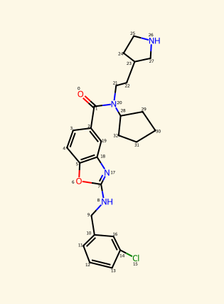 O=C(c1ccc2oc(NCc3cccc(Cl)c3)nc2c1)N(CCC1CCNC1)C1CCCC1